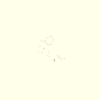 C/C=C(\N=N)NCC1(c2ncccc2F)CCC1